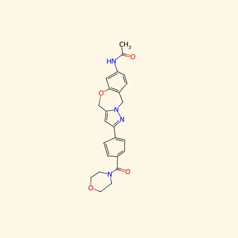 CC(=O)Nc1ccc2c(c1)OCc1cc(-c3ccc(C(=O)N4CCOCC4)cc3)nn1C2